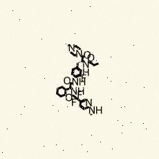 CCC(=O)N[C@H](Cc1ccc(NC(=O)[C@@H](NC(=O)C(F)(F)c2ccc(NC)nc2)C2CCCCC2)c(F)c1)C(=O)N1CCN(C)CC1